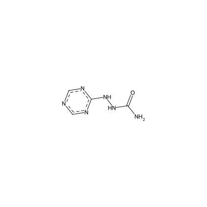 NC(=O)NNc1ncncn1